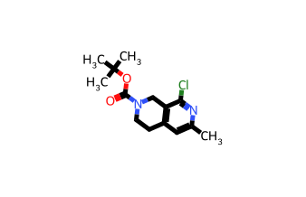 Cc1cc2c(c(Cl)n1)CN(C(=O)OC(C)(C)C)CC2